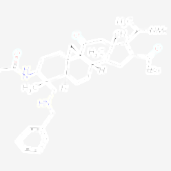 CN[C@@H](C)[C@H]1[C@H](C(=O)C(C)(C)C)C[C@@]2(C)[C@@H]3CC[C@H]4[C@](C)(CNCc5ccccc5)[C@@H](NC(=O)C(C)C)CC[C@@]45C[C@@]35C(=O)C[C@]12C